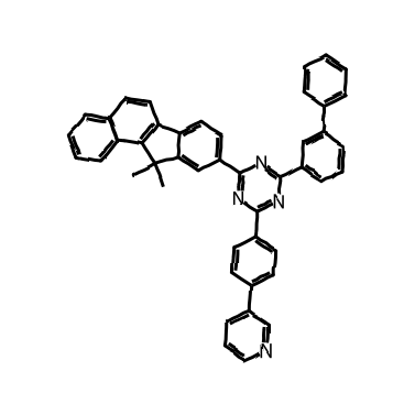 CC1(C)c2cc(-c3nc(-c4ccc(-c5cccnc5)cc4)nc(-c4cccc(-c5ccccc5)c4)n3)ccc2-c2ccc3ccccc3c21